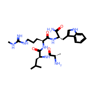 CNC(=N)NCCC[C@H](NC(=O)[C@H](CC(C)C)NC(=O)[C@H](C)N)C(=O)N[C@@H](Cc1c[nH]c2ccccc12)C(N)=O